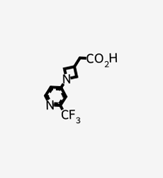 O=C(O)CC1CN(c2ccnc(C(F)(F)F)c2)C1